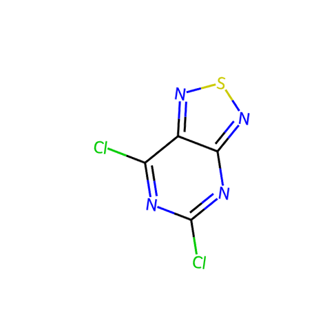 Clc1nc(Cl)c2nsnc2n1